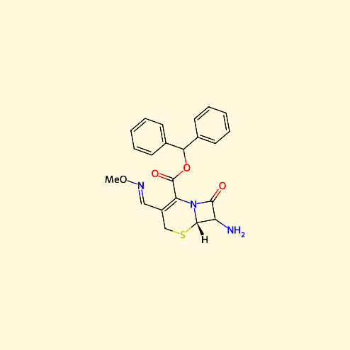 CON=CC1=C(C(=O)OC(c2ccccc2)c2ccccc2)N2C(=O)C(N)[C@@H]2SC1